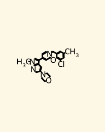 Cc1cc(Cl)cc(Cn2ccc(-c3cn(C)c4ncc(N5CCOCC5)cc34)cc2=O)c1